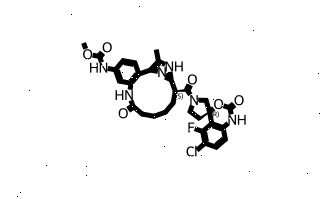 COC(=O)Nc1ccc2c(c1)NC(=O)CCCC[C@H](C(=O)N1CC[C@@]3(C1)OC(=O)Nc1ccc(Cl)c(F)c13)c1nc-2c(C)[nH]1